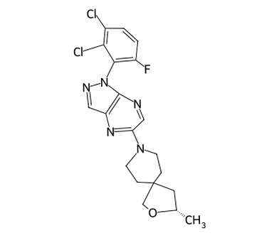 C[C@H]1CC2(CCN(c3cnc4c(cnn4-c4c(F)ccc(Cl)c4Cl)n3)CC2)CO1